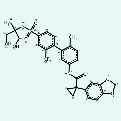 Cc1ccc(NC(=O)C2(c3ccc4c(c3)OCO4)CC2)cc1-c1ccc(S(=O)(=O)NC(C)(CO)CO)cc1C(F)(F)F